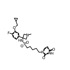 CN1CC(NS(=O)(=O)CCCCCn2ccc(=O)[nH]c2=O)(c2ccc(F)c(OCC3CC3)c2)C1